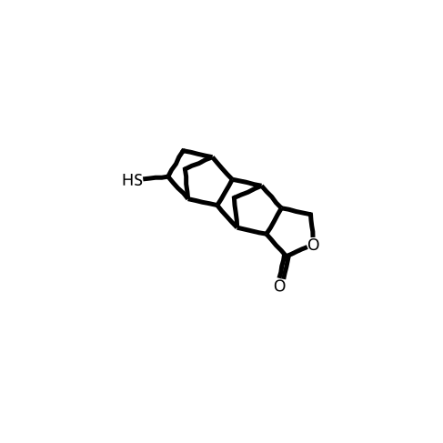 O=C1OCC2C3CC(C12)C1C2CC(CC2S)C31